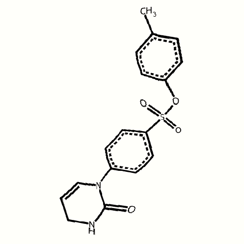 Cc1ccc(OS(=O)(=O)c2ccc(N3C=CCNC3=O)cc2)cc1